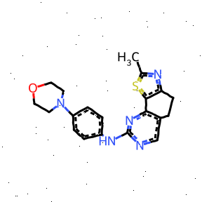 Cc1nc2c(s1)-c1nc(Nc3ccc(N4CCOCC4)cc3)ncc1CC2